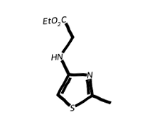 CCOC(=O)CNc1csc(C)n1